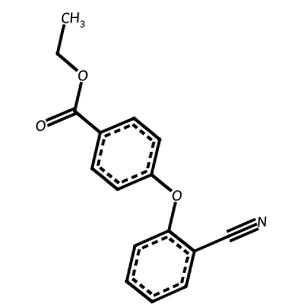 CCOC(=O)c1ccc(Oc2ccccc2C#N)cc1